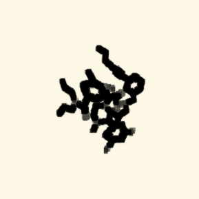 CCCC#Cc1cccc(CNCC(CC)[C@@]2(NC(=O)c3cc(C)cc(C(=O)N(CCC)CCC)c3)C(c3cc(F)cc(F)c3)N(C)CCN2C(=O)O)c1